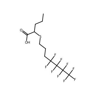 CCCC(SCCCC(F)(F)C(F)(F)C(F)(F)C(F)(F)F)C(=O)O